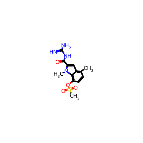 Cc1ccc(OS(C)(=O)=O)c2c1cc(C(=O)NC(=N)N)n2C